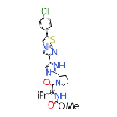 COC(=O)N[C@H](C(=O)N1CCCC1c1ncc(-c2cn3cc(-c4ccc(Cl)cc4)sc3n2)[nH]1)C(C)C